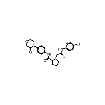 O=C(CN1CCCC1C(=O)Nc1ccc(N2CCOCC2=O)cc1)Nc1ccc(Cl)cn1